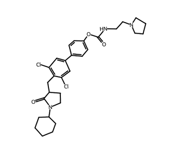 O=C(NCCN1CCCC1)Oc1ccc(-c2cc(Cl)c(CC3CCN(C4CCCCC4)C3=O)c(Cl)c2)cc1